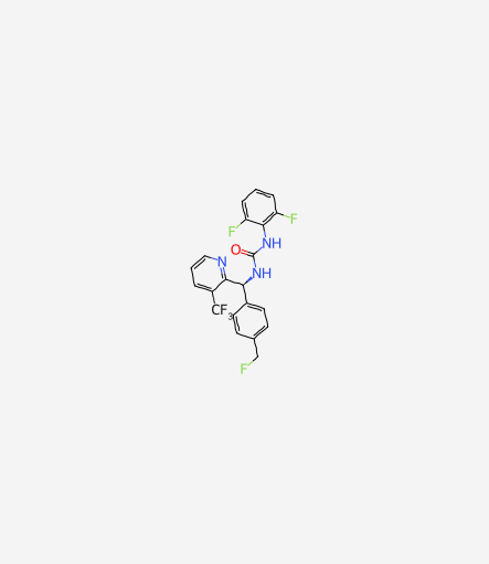 O=C(Nc1c(F)cccc1F)N[C@@H](c1ccc(CF)cc1)c1ncccc1C(F)(F)F